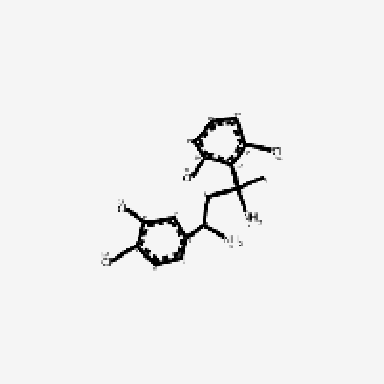 CC(N)(CC(N)c1ccc(Cl)c(Cl)c1)c1c(Cl)cccc1Cl